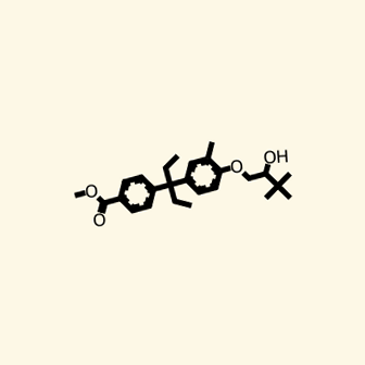 CCC(CC)(c1ccc(C(=O)OC)cc1)c1ccc(OCC(O)C(C)(C)C)c(C)c1